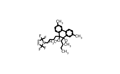 CCCCC1(OC)c2cc(C)ccc2-c2cc(C)ccc2C1(CCCCN(C(F)(F)F)C(F)(F)F)OC